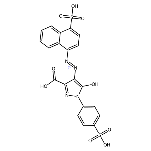 O=C(O)c1nn(-c2ccc(S(=O)(=O)O)cc2)c(O)c1/N=N/c1ccc(S(=O)(=O)O)c2ccccc12